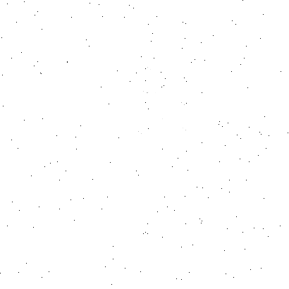 c1ccc(-c2ccc3c(c2)c2cc(-c4ccccc4)ccc2n3-c2ccc(-c3cccc4c3sc3ccccc34)cc2-c2nc(-c3ccccc3)nc(-c3ccccc3)n2)cc1